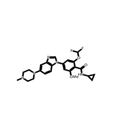 COc1cc(-n2cnc3cc(N4CCN(C)CC4)ccc32)cc(OC(F)F)c1C(=O)NC1CC1